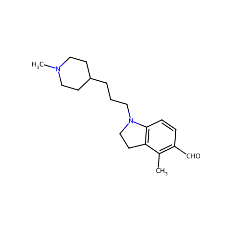 Cc1c(C=O)ccc2c1CCN2CCCC1CCN(C)CC1